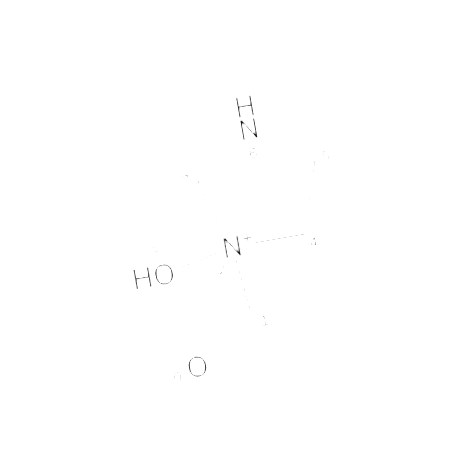 O=C[N+]1(O)CCNC1